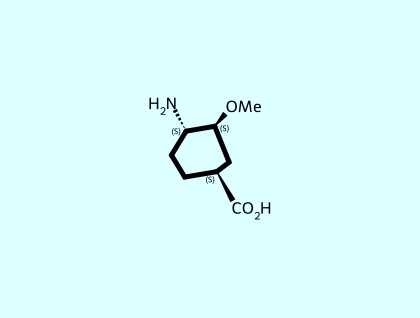 CO[C@H]1C[C@@H](C(=O)O)CC[C@@H]1N